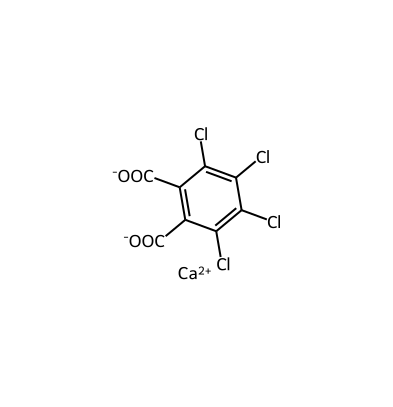 O=C([O-])c1c(Cl)c(Cl)c(Cl)c(Cl)c1C(=O)[O-].[Ca+2]